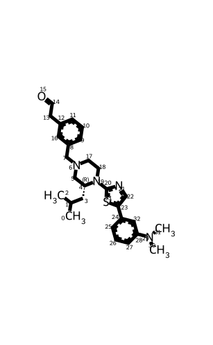 CC(C)C[C@@H]1CN(Cc2cccc(CC=O)c2)CCN1c1ncc(-c2cccc(N(C)C)c2)s1